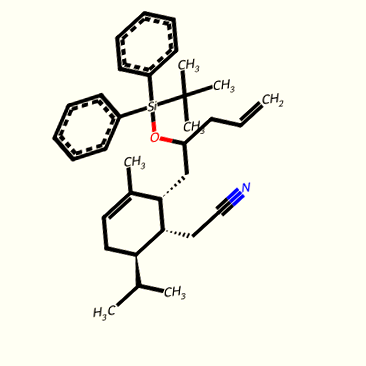 C=CCC(C[C@H]1C(C)=CC[C@H](C(C)C)[C@H]1CC#N)O[Si](c1ccccc1)(c1ccccc1)C(C)(C)C